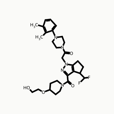 Cc1cccc(N2CCN(C(=O)Cn3nc(C(=O)N4CCC(OCCO)CC4)c4c3CCC4C(F)F)CC2)c1C